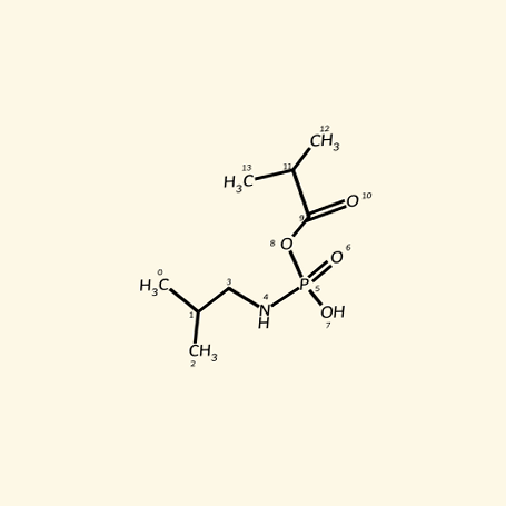 CC(C)CNP(=O)(O)OC(=O)C(C)C